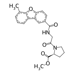 COC(=O)[C@@H]1CCCN1C(=O)CNC(=O)c1ccc2oc3c(C)cccc3c2c1